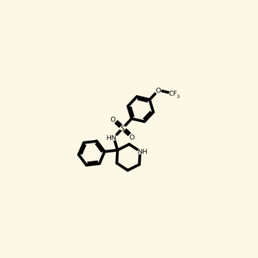 O=S(=O)(NC1(c2ccccc2)CCCNC1)c1ccc(OC(F)(F)F)cc1